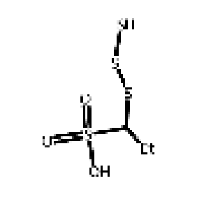 CCC(SSS)S(=O)(=O)O